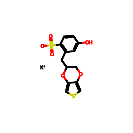 O=S(=O)([O-])c1ccc(O)cc1CC1COc2cscc2O1.[K+]